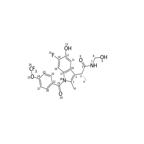 Cc1c([C@@H](C)C(=O)NCO)c2cc(O)c(F)cc2n1C(=O)c1ccc(OC(F)(F)F)cc1